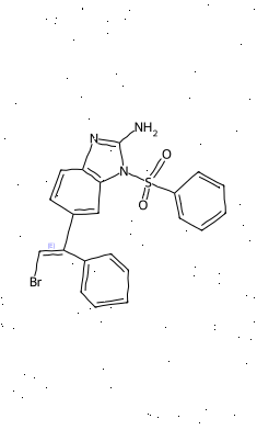 Nc1nc2ccc(/C(=C/Br)c3ccccc3)cc2n1S(=O)(=O)c1ccccc1